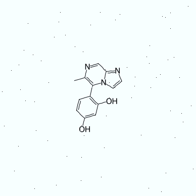 Cc1ncc2nccn2c1-c1ccc(O)cc1O